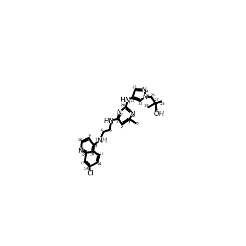 Cc1cc(NCCNc2ccnc3cc(Cl)ccc23)nc(Nc2cnn(CC(C)(C)O)c2)n1